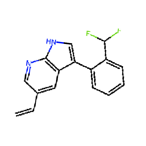 C=Cc1cnc2[nH]cc(-c3ccccc3C(F)F)c2c1